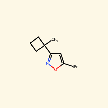 CC(C)c1cc(C2(C(F)(F)F)CCC2)no1